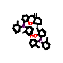 Cc1ccccc1P(c1ccccc1C)c1cccc(C[C@H]2CCC[C@@H]3Cc4cccc(P(c5ccccc5C)c5ccccc5C)c4OC23)c1O